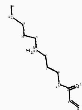 C=CC(=O)OCCC[SiH2]CCCOC